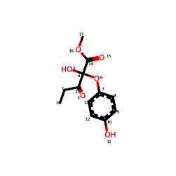 CCC(=O)C(O)(Oc1ccc(O)cc1)C(=O)OC